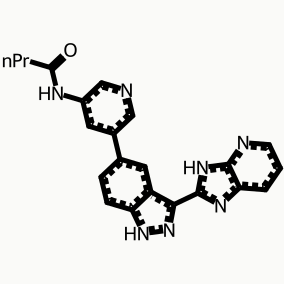 CCCC(=O)Nc1cncc(-c2ccc3[nH]nc(-c4nc5cccnc5[nH]4)c3c2)c1